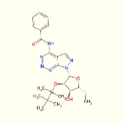 CC[C@H]1O[C@@H](n2ncc3c(NC(=O)c4ccccc4)nnnc32)[C@H](O[Si](C)(C)C(C)(C)C)[C@@H]1O